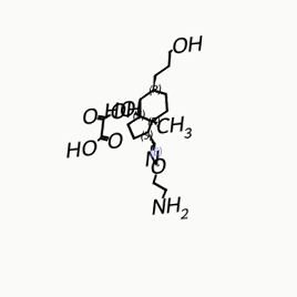 C[C@]12CC[C@H](CCCO)C[C@@]1(O)CC[C@@H]2/C=N/OCCN.O=C(O)C(=O)O